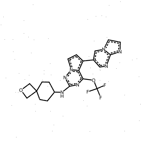 FC(F)(F)Oc1nc(NC2CCC3(CC2)COC3)nn2ccc(-c3cnc4nccn4c3)c12